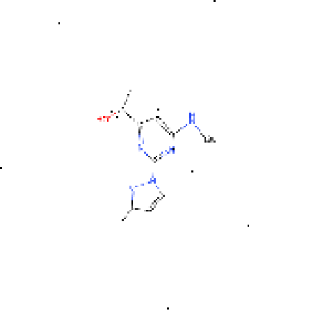 Cc1ccn(-c2nc(NC(C)(C)C)cc(C(C)O)n2)n1